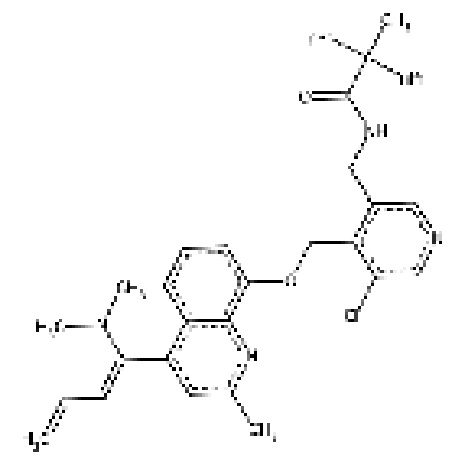 C=C/C=C(/c1cc(C)nc2c(OCc3c(Cl)cncc3CNC(=O)C(C)(CCC)CCC)cccc12)N(C)C